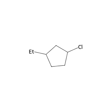 [CH2]CC1CCC(Cl)C1